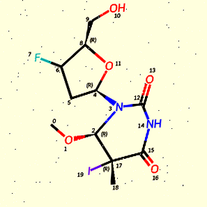 CO[C@H]1N([C@H]2CC(F)[C@@H](CO)O2)C(=O)NC(=O)[C@]1(C)I